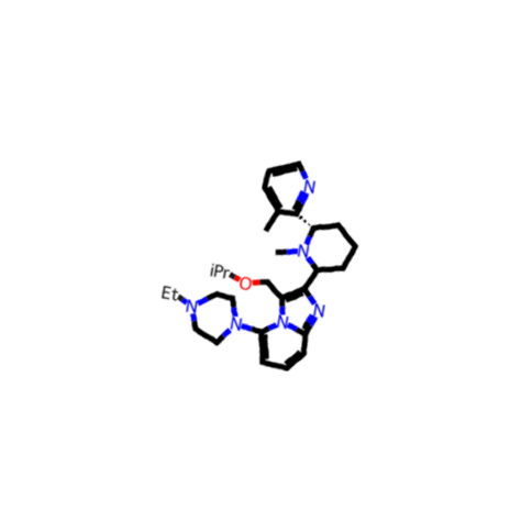 CCN1CCN(c2cccc3nc(C4CCC[C@@H](c5ncccc5C)N4C)c(COC(C)C)n23)CC1